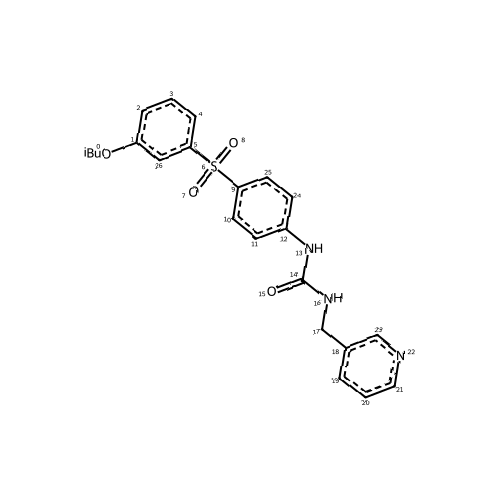 CC(C)COc1cccc(S(=O)(=O)c2ccc(NC(=O)NCc3cccnc3)cc2)c1